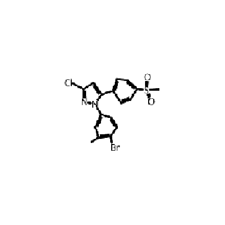 Cc1cc(-n2nc(Cl)cc2-c2ccc(S(C)(=O)=O)cc2)ccc1Br